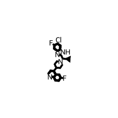 Fc1ccc2nccc(C3CCN(C(c4nc5cc(F)c(Cl)cc5[nH]4)C4CC4)CC3)c2c1